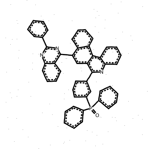 O=P(c1ccccc1)(c1ccccc1)c1cccc(-c2nc3ccccc3c3c2cc(-c2nc(-c4ccccc4)nc4ccccc24)c2ccccc23)c1